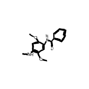 CNc1cc(OC)c(NC(=O)c2ccccc2)cc1OC